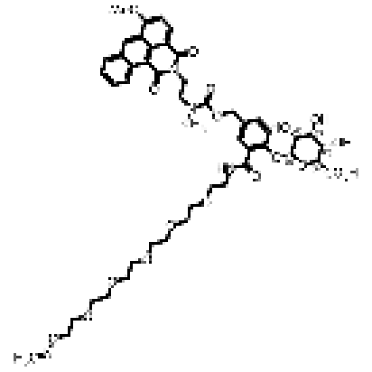 C=NOCCOCCOCCOCCOCCOCCNC(=O)c1cc(COC(=O)N(C)CCN2C(=O)c3ccc(OC)c4cc5ccccc5c(c34)C2=O)ccc1O[C@@H]1O[C@H](C(=O)O)[C@@H](O)[C@H](O)[C@H]1O